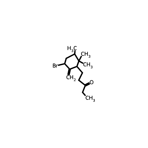 C=C1C(Br)CC(C)C(C)(C)C1CCC(=O)CC